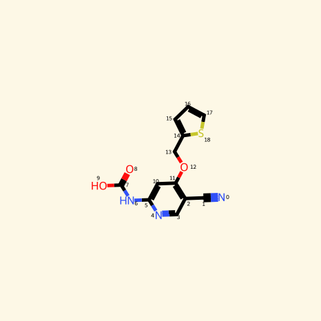 N#Cc1cnc(NC(=O)O)cc1OCc1cccs1